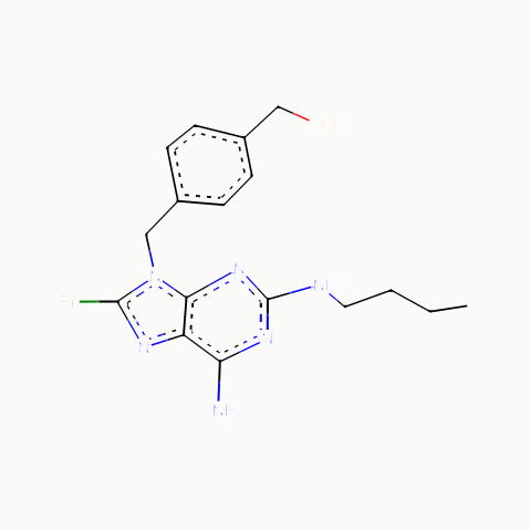 CCCCNc1nc(N)c2nc(Br)n(Cc3ccc(CO)cc3)c2n1